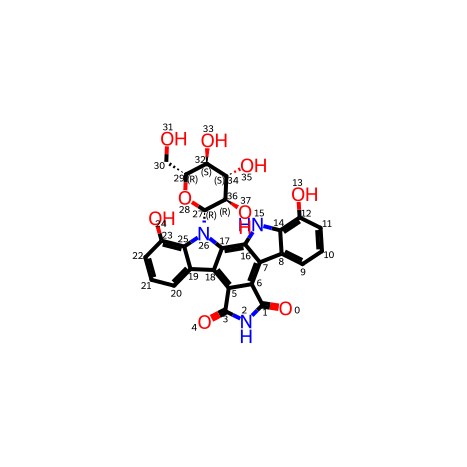 O=C1NC(=O)c2c1c1c3cccc(O)c3[nH]c1c1c2c2cccc(O)c2n1[C@@H]1O[C@H](CO)[C@@H](O)[C@H](O)[C@H]1O